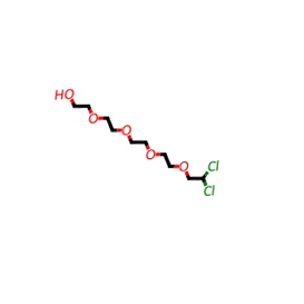 OCCOCCOCCOCCOCC(Cl)Cl